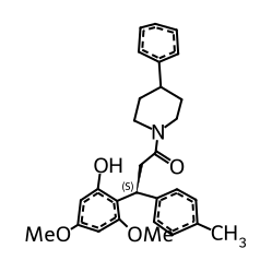 COc1cc(O)c([C@@H](CC(=O)N2CCC(c3ccccc3)CC2)c2ccc(C)cc2)c(OC)c1